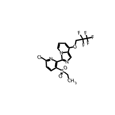 CCS(=O)(=O)c1ccc(Cl)nc1-c1ncc2c(OCC(F)(F)C(F)(F)F)cccn12